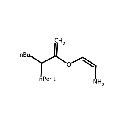 C=C(O/C=C\N)C(CCCC)CCCCC